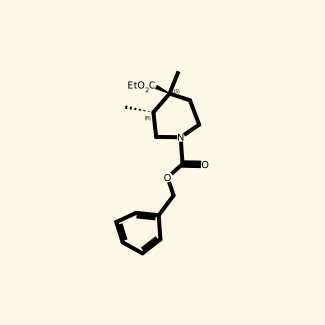 CCOC(=O)[C@@]1(C)CCN(C(=O)OCc2ccccc2)C[C@@H]1C